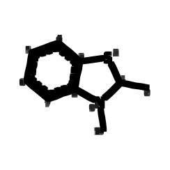 CC1Sc2ccccc2N1C